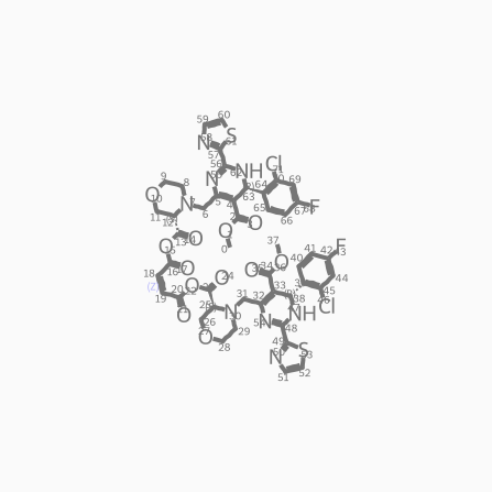 COC(=O)C1=C(CN2CCOC[C@H]2C(=O)OC(=O)/C=C\C(=O)OC(=O)[C@@H]2COCCN2CC2=C(C(=O)OC)[C@H](c3ccc(F)cc3Cl)NC(c3nccs3)=N2)N=C(c2nccs2)N[C@H]1c1ccc(F)cc1Cl